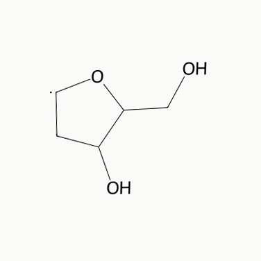 OCC1O[CH]CC1O